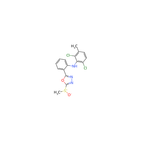 Cc1ccc(Cl)c(Nc2ccccc2-c2nnc([S+](C)[O-])o2)c1Cl